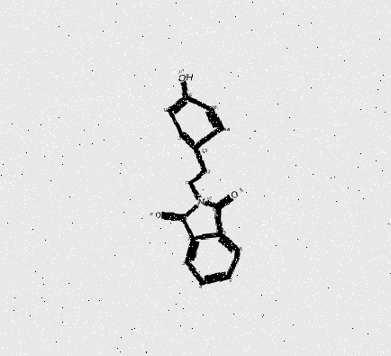 O=C1c2ccccc2C(=O)N1CCc1ccc(O)cc1